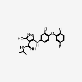 CC(C)NC(=N)c1c(O)nsc1Nc1ccc(Oc2cc(F)ccc2Cl)c(Cl)c1